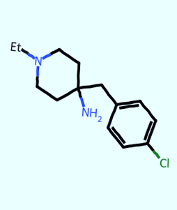 CCN1CCC(N)(Cc2ccc(Cl)cc2)CC1